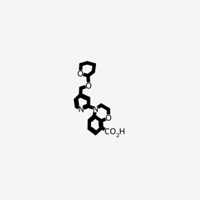 O=C(O)c1cccc2c1OCCN2c1cc(COC2CCCCO2)ccn1